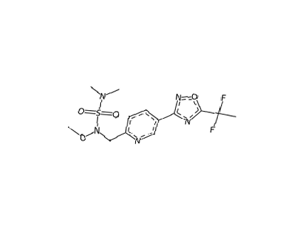 CON(Cc1ccc(-c2noc(C(C)(F)F)n2)cn1)S(=O)(=O)N(C)C